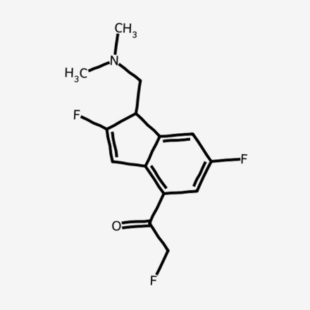 CN(C)CC1C(F)=Cc2c(C(=O)CF)cc(F)cc21